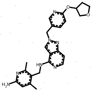 Cc1cc(N)nc(C)c1CNc1nccc2nn(Cc3ccc(OC4CCOC4)nc3)cc12